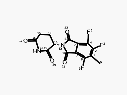 Cc1c(F)c(F)c2c(c1F)C(=O)N([C@H]1CCC(=O)NC1=O)C2=O